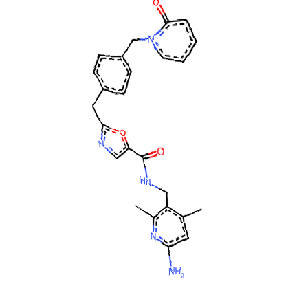 Cc1cc(N)nc(C)c1CNC(=O)c1cnc(Cc2ccc(Cn3ccccc3=O)cc2)o1